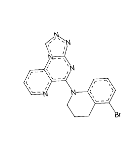 Brc1cccc2c1CCCN2c1nc2nncn2c2cccnc12